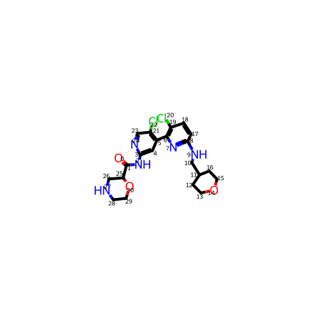 O=C(Nc1cc(-c2nc(NCC3CCOCC3)ccc2Cl)c(Cl)cn1)C1CNCCO1